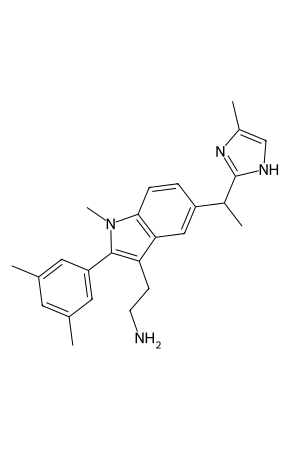 Cc1cc(C)cc(-c2c(CCN)c3cc(C(C)c4nc(C)c[nH]4)ccc3n2C)c1